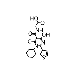 O=C(O)CNC(=O)c1c(O)nc(C2C=CSC2)n(C2CCCCC2)c1=O